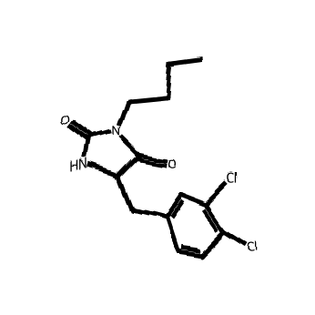 CCCCN1C(=O)NC(Cc2ccc(Cl)c(Cl)c2)C1=O